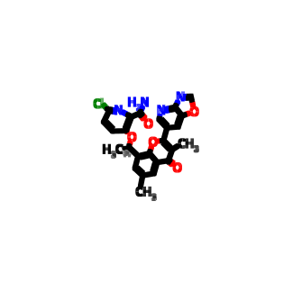 Cc1cc([C@@H](C)Oc2ccc(Cl)nc2C(N)=O)c2oc(-c3cnc4ncoc4c3)c(C)c(=O)c2c1